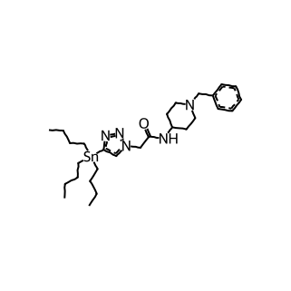 CCC[CH2][Sn]([CH2]CCC)([CH2]CCC)[c]1cn(CC(=O)NC2CCN(Cc3ccccc3)CC2)nn1